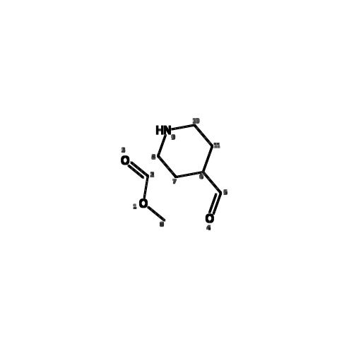 COC=O.O=CC1CCNCC1